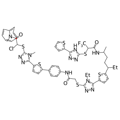 CCC(CCC(C)NC(=O)C(Sc1nnc(-c2cccs2)[nH]1)C(F)(F)F)c1ccc(-c2nnc(SCC(=O)Nc3ccc(-c4ccc(-c5nnc(SC(Cl)C(=O)N(C)C6=C\C=C\C=C/C=C\6)n5C)s4)cc3)n2CC)s1